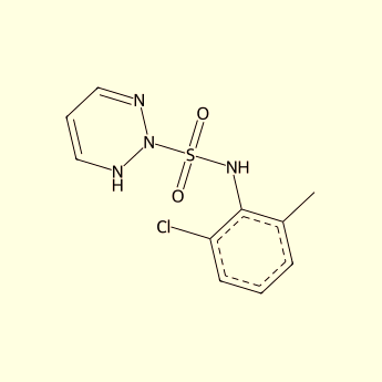 Cc1cccc(Cl)c1NS(=O)(=O)N1N=CC=CN1